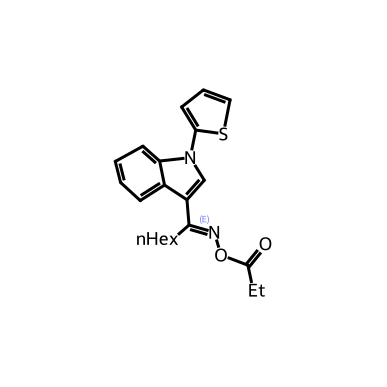 CCCCCC/C(=N\OC(=O)CC)c1cn(-c2cccs2)c2ccccc12